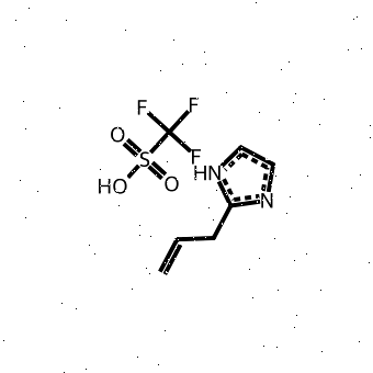 C=CCc1ncc[nH]1.O=S(=O)(O)C(F)(F)F